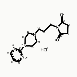 Cl.O=C1CCC(=O)N1CCCN1CCN(c2ncccn2)CC1